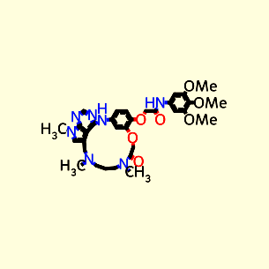 COc1cc(NC(=O)COc2ccc3cc2OCC(=O)N(C)CCCN(C)Cc2cn(C)c4ncnc(c24)N3)cc(OC)c1OC